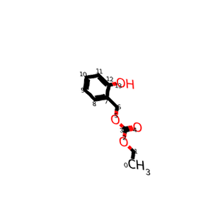 CCOC(=O)OCc1ccccc1O